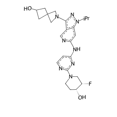 CC(C)n1nc(N2CC3(CC(O)C3)C2)c2cnc(Nc3ccnc(N4CC[C@@H](O)[C@@H](F)C4)n3)cc21